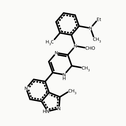 CCN(C)c1cccc(C)c1N(C=O)C1=NC=C(c2cncc3[nH]nc(C)c23)NC1C